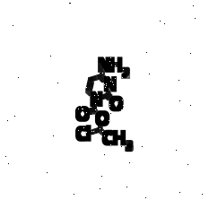 CC(Cl)OC(=O)n1ccc(N)nc1=O